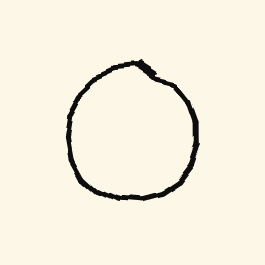 C1=C/CCCCCCCCCCCCCCCCC/1